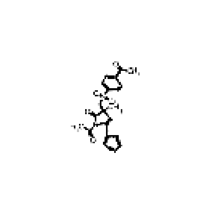 CC(=O)c1ccc(S(=O)(=O)CC2(C)C=C(c3ccccc3)N(C(C)=O)C2=O)cc1